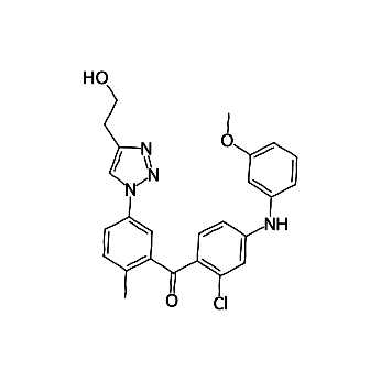 COc1cccc(Nc2ccc(C(=O)c3cc(-n4cc(CCO)nn4)ccc3C)c(Cl)c2)c1